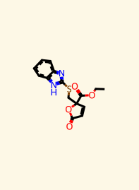 CCOC(=O)C1(CSc2nc3ccccc3[nH]2)C=CC(=O)O1